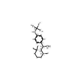 C[C@H]1CCCC(C)(C)[C@@H]1[C@H](O)c1ccc(OC(F)(F)F)cc1